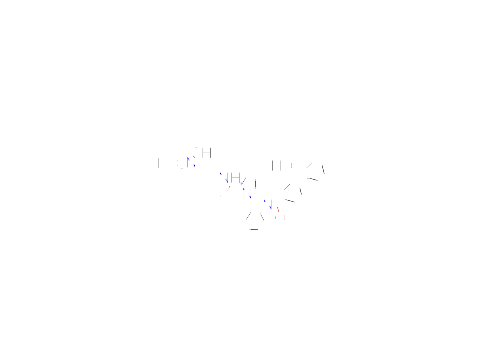 Cc1ccccc1-c1ccc(C(=O)N2Cc3ccc(C(=O)NCCCN(C)C)n3Cc3ccccc32)cc1